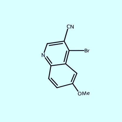 COc1ccc2ncc(C#N)c(Br)c2c1